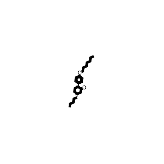 CCCCCCCOc1ccc([C@@H]2CC[C@@H](CCCCC)CC2=O)cc1